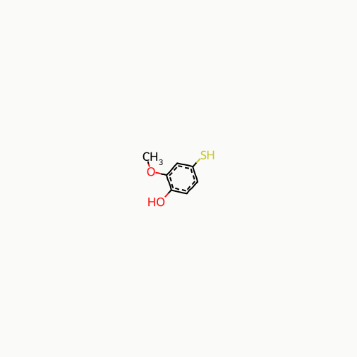 COc1cc(S)ccc1O